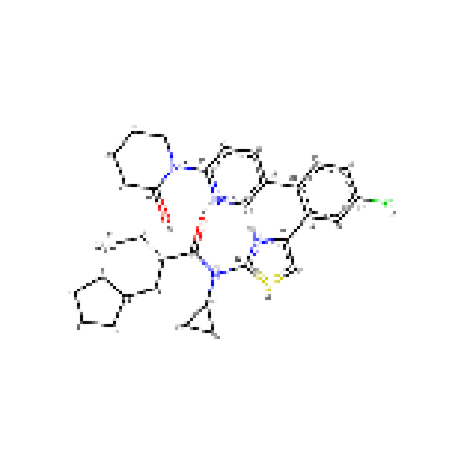 O=C(O)C[C@@H](CC1CCCC1)C(=O)N(c1nc(-c2cc(Cl)ccc2-c2ccc(N3CCCCC3=O)nc2)cs1)C1CC1